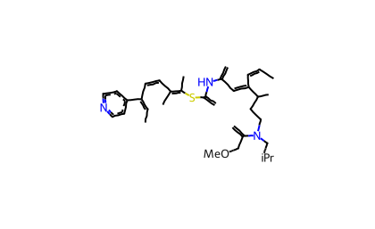 C=C(/C=C(\C=C/C)C(C)CCN(CC(C)C)C(=C)COC)NC(=C)S/C(C)=C(C)/C=C\C(=C\C)c1ccncc1